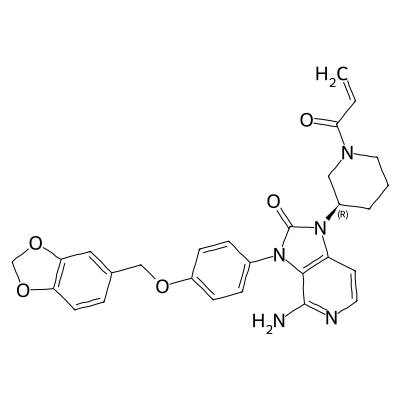 C=CC(=O)N1CCC[C@@H](n2c(=O)n(-c3ccc(OCc4ccc5c(c4)OCO5)cc3)c3c(N)nccc32)C1